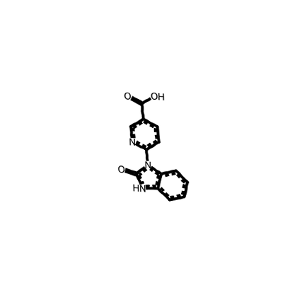 O=C(O)c1ccc(-n2c(=O)[nH]c3ccccc32)nc1